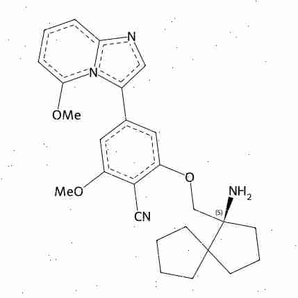 COc1cc(-c2cnc3cccc(OC)n23)cc(OC[C@]2(N)CCCC23CCCC3)c1C#N